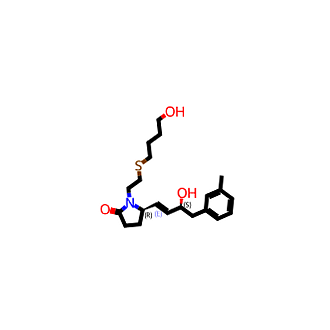 Cc1cccc(C[C@H](O)/C=C/[C@H]2CCC(=O)N2CCSCCCCO)c1